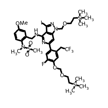 COc1ccc(N(C)S(C)(=O)=O)c(CNc2nc(-c3cc(F)c(OCOCC[Si](C)(C)C)cc3CC(F)(F)F)cc3c2c(I)nn3COCC[Si](C)(C)C)c1